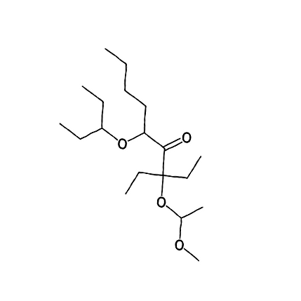 CCCCC(OC(CC)CC)C(=O)C(CC)(CC)OC(C)OC